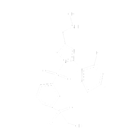 CCS(=O)(=O)c1cccc(S(=O)(=O)n2cc(CNC)cc2-c2ccccc2F)c1